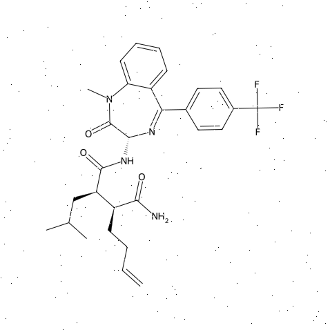 C=CCC[C@H](C(N)=O)[C@@H](CC(C)C)C(=O)N[C@H]1N=C(c2ccc(C(F)(F)F)cc2)c2ccccc2N(C)C1=O